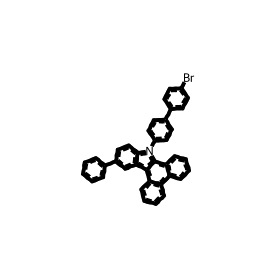 Brc1ccc(-c2ccc(-n3c4ccc(-c5ccccc5)cc4c4c5ccccc5c5ccccc5c43)cc2)cc1